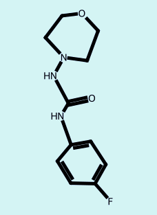 O=C(Nc1ccc(F)cc1)NN1CCOCC1